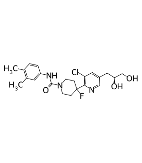 Cc1ccc(NC(=O)N2CCC(F)(c3ncc(C[C@H](O)CO)cc3Cl)CC2)cc1C